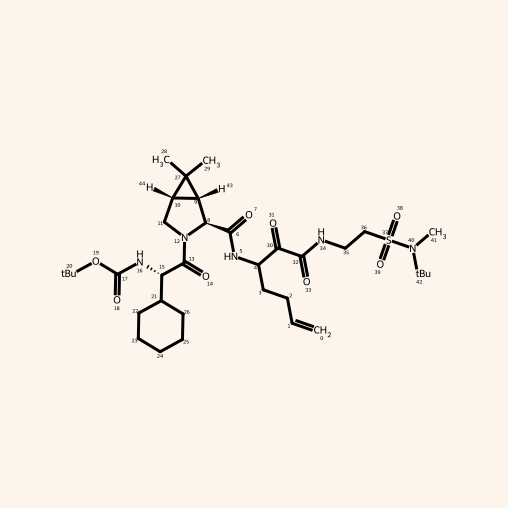 C=CCCC(NC(=O)[C@@H]1[C@@H]2[C@H](CN1C(=O)[C@@H](NC(=O)OC(C)(C)C)C1CCCCC1)C2(C)C)C(=O)C(=O)NCCS(=O)(=O)N(C)C(C)(C)C